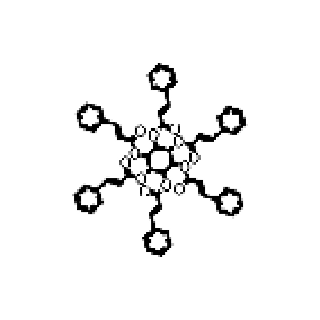 O=C(/C=C/c1ccccc1)OC1C(OC(=O)/C=C/c2ccccc2)C(OC(=O)/C=C/c2ccccc2)C(OC(=O)/C=C/c2ccccc2)C(OC(=O)/C=C/c2ccccc2)C1OC(=O)/C=C/c1ccccc1